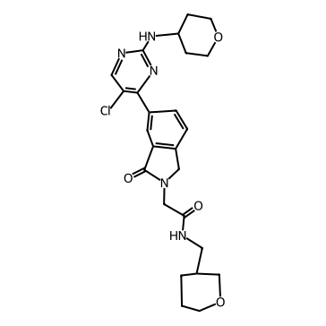 O=C(CN1Cc2ccc(-c3nc(NC4CCOCC4)ncc3Cl)cc2C1=O)NCC1CCCOC1